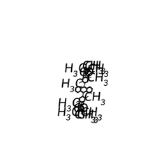 Cc1cc(-c2c3ccccc3c(-c3cc(C)c(B4OC(C)(C)C(C)(C)O4)cc3C)c3ccccc23)c(C)cc1B1OC(C)(C)C(C)(C)O1